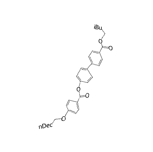 CCCCCCCCCCCOc1ccc(C(=O)Oc2ccc(-c3ccc(C(=O)OCC(C)CC)cc3)cc2)cc1